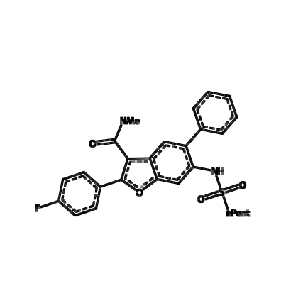 CCCCCS(=O)(=O)Nc1cc2oc(-c3ccc(F)cc3)c(C(=O)NC)c2cc1-c1ccccc1